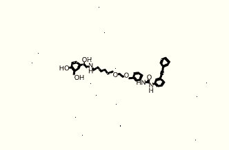 O=C(Nc1cccc(C#Cc2ccccc2)c1)Nc1cccc(COCCOCCCCCCNC[C@H](O)c2ccc(O)c(CO)c2)c1